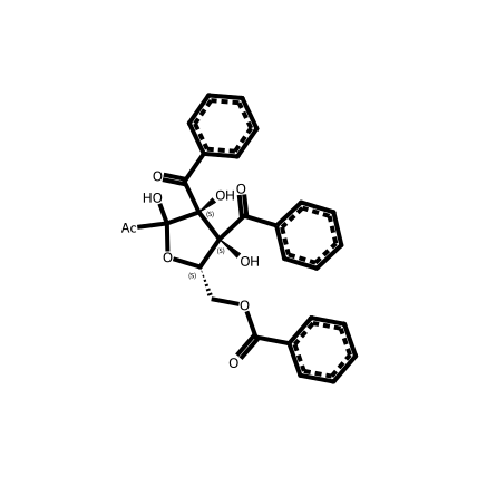 CC(=O)C1(O)O[C@@H](COC(=O)c2ccccc2)[C@@](O)(C(=O)c2ccccc2)[C@@]1(O)C(=O)c1ccccc1